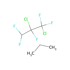 CCC.FC(F)C(F)(Cl)C(F)(F)Cl